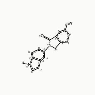 CCCc1ccc2c(c1)C(=O)N(c1ccc3c(ccn3C)c1)C2